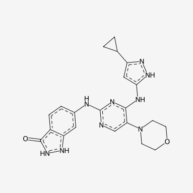 O=c1[nH][nH]c2cc(Nc3ncc(N4CCOCC4)c(Nc4cc(C5CC5)n[nH]4)n3)ccc12